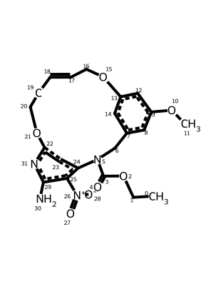 CCOC(=O)N1Cc2cc(OC)cc(c2)OC/C=C/CCOc2cc1c([N+](=O)[O-])c(N)n2